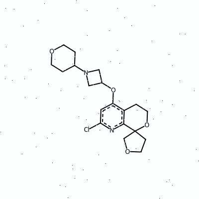 Clc1cc(OC2CN(C3CCOCC3)C2)c2c(n1)C1(CCOC1)OCC2